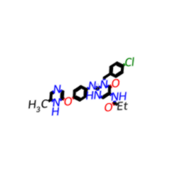 CCC(=O)Nc1c[nH]/c(=N\c2ccc(OC3=CN=CC(C)N3)cc2)n(Cc2ccc(Cl)cc2)c1=O